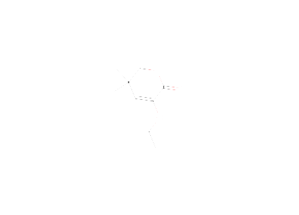 CCOC1=CC(C)(C)COC1=O